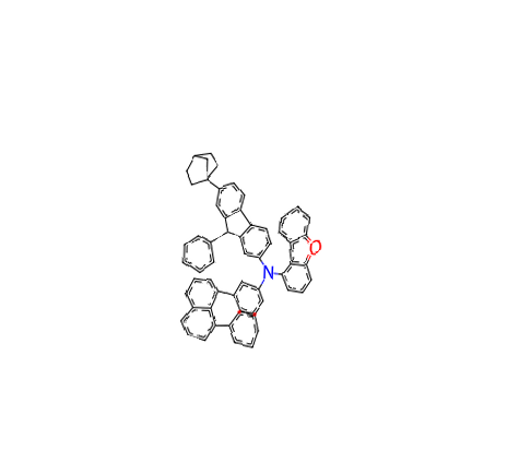 c1ccc(-c2cccc3cccc(-c4cccc(N(c5ccc6c(c5)C(c5ccccc5)c5cc(C78CCC(CC7)C8)ccc5-6)c5cccc6oc7ccccc7c56)c4)c23)cc1